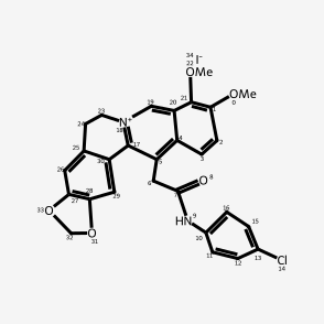 COc1ccc2c(CC(=O)Nc3ccc(Cl)cc3)c3[n+](cc2c1OC)CCc1cc2c(cc1-3)OCO2.[I-]